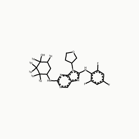 [2H]C1CC(Nc2ncc3nc(Nc4c(F)cc(F)cc4F)n(C4CCOC4)c3n2)C([2H])([2H])C([2H])([2H])C1([2H])O